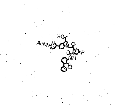 CC(=O)Nc1ncc(-c2ccc3c(c2)c(C(C)O)cn3CC(=O)N2C[C@H](F)C[C@H]2C(=O)Nc2cccc(-c3ccccc3Cl)c2F)cn1